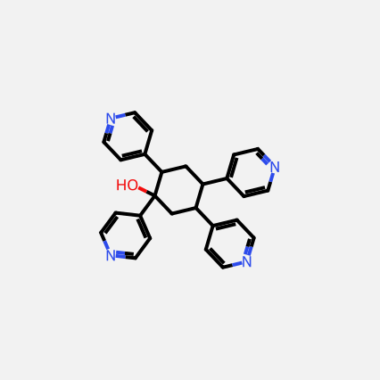 OC1(c2ccncc2)CC(c2ccncc2)C(c2ccncc2)CC1c1ccncc1